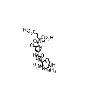 N/C1=N/C(N)=C(/NC(=O)Nc2cnc(C(=O)N[C@@H](CCC(=O)O)C(=O)O)c(Cl)c2)COCN1